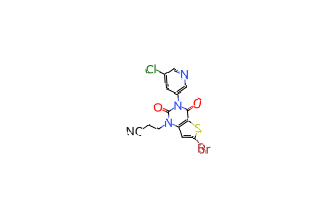 N#CCCn1c(=O)n(-c2cncc(Cl)c2)c(=O)c2sc(Br)cc21